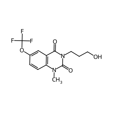 Cn1c(=O)n(CCCO)c(=O)c2cc(OC(F)(F)F)ccc21